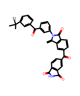 C=C1c2cc(C(=O)c3ccc4c(c3)C(=O)NC4=O)ccc2C(=O)N1c1cccc(C(=O)c2cccc(C(C)(C)CC)c2)c1